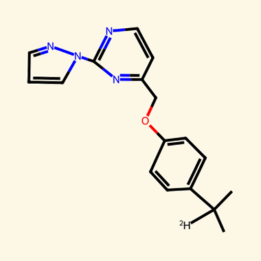 [2H]C(C)(C)c1ccc(OCc2ccnc(-n3cccn3)n2)cc1